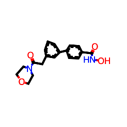 O=C(NO)c1ccc(-c2cccc(CC(=O)N3CCOCC3)c2)cc1